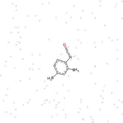 Bc1ccc(N=C=O)c(B)c1